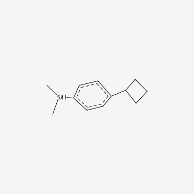 C[SiH](C)c1ccc(C2CCC2)cc1